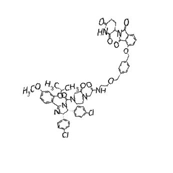 COc1ccc(C2=N[C@@H](c3ccc(Cl)cc3)[C@@H](c3ccc(Cl)cc3)N2C(=O)N2CCN(CC(=O)NCCOCc3ccc(COc4cccc5c4C(=O)N(C4CCC(=O)NC4=O)C5=O)cc3)C(=O)C2)c(OC(C)C)c1